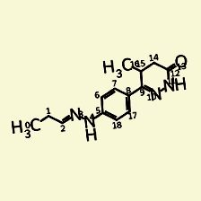 CCC=NNc1ccc(C2=NNC(=O)CC2C)cc1